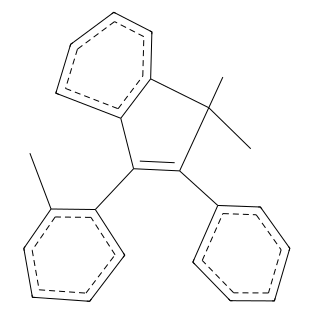 Cc1ccccc1C1=C(c2ccccc2)C(C)(C)c2ccccc21